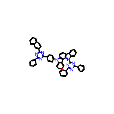 c1ccc(-c2nc(-c3ccc(-n4c5ccccc5c5c4ccc4c6ccccc6n(-c6nc(-c7ccccc7)nc(-c7ccccc7)n6)c45)cc3)nc(-c3ccc4ccccc4c3)n2)cc1